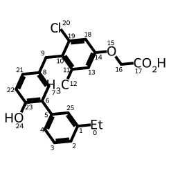 CCc1cccc(-c2cc(Cc3c(C)cc(OCC(=O)O)cc3Cl)ccc2O)c1